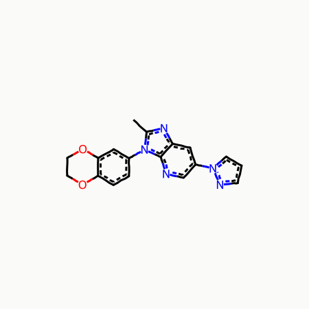 Cc1nc2cc(-n3cccn3)cnc2n1-c1ccc2c(c1)OCCO2